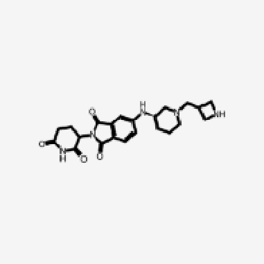 O=C1CCC(N2C(=O)c3ccc(N[C@@H]4CCCN(CC5CNC5)C4)cc3C2=O)C(=O)N1